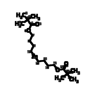 CC(C)(C)C(=O)OCCC[CH2][Zn][CH2]CCCOC(=O)C(C)(C)C